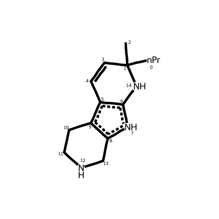 CCCC1(C)C=Cc2c([nH]c3c2CCNC3)N1